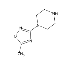 Cc1nc(N2CCNCC2)no1